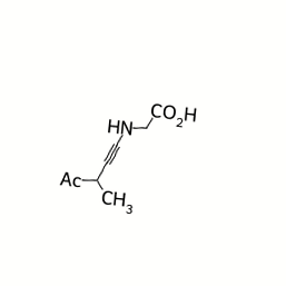 CC(=O)C(C)C#CNCC(=O)O